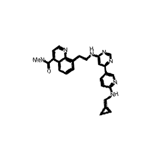 CNC(=O)c1ccnc2c(CCNc3cc(-c4ccc(NCC5CC5)nc4)ncn3)cccc12